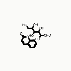 O=CC(O)C(O)C(O)C(O)CO.O=c1ccc2ccccc2o1